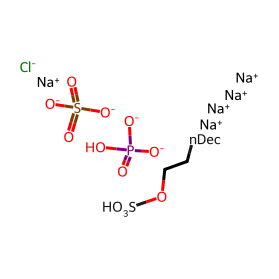 CCCCCCCCCCCCOS(=O)(=O)O.O=P([O-])([O-])O.O=S(=O)([O-])[O-].[Cl-].[Na+].[Na+].[Na+].[Na+].[Na+]